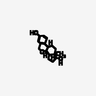 C[C@]12CC[C@@H]3c4ccc(O)cc4CO[C@H]3[C@@H]1CC[C@@H]2O